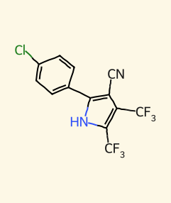 N#Cc1c(-c2ccc(Cl)cc2)[nH]c(C(F)(F)F)c1C(F)(F)F